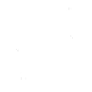 Oc1ccc2ncc(CCCCc3cncc(COPI)c3)cc2c1